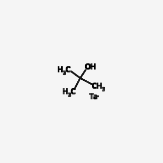 CC(C)(C)O.[Ta]